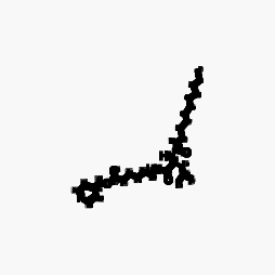 CCCCCCCCCCCC(=O)N[C@@H](CC(C)C)C(=O)NCCCCCC(=O)OCc1ccncc1